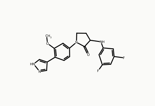 COc1cc(N2CCC(Nc3cc(F)cc(F)c3)C2=O)ccc1-c1cn[nH]c1